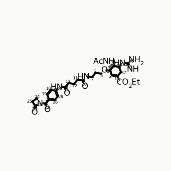 CCOC(=O)C1=C[C@@H](OCCCNC(=O)CCCC(=O)Nc2ccc(C(=O)N3CCC3=O)cc2)[C@H](NC(C)=O)[C@@H](NC(=N)N)C1